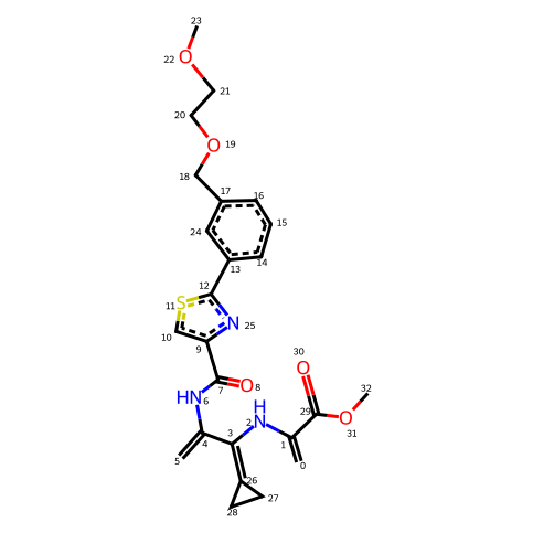 C=C(NC(C(=C)NC(=O)c1csc(-c2cccc(COCCOC)c2)n1)=C1CC1)C(=O)OC